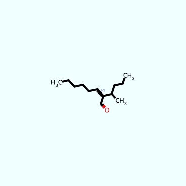 CCCCC/C=C(\C=O)C(C)CCC